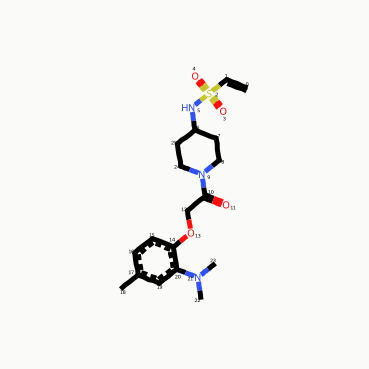 C=CS(=O)(=O)NC1CCN(C(=O)COc2ccc(C)cc2N(C)C)CC1